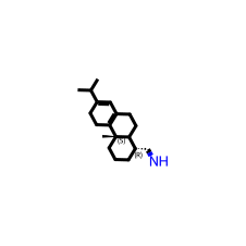 CC(C)C1=CC2=C(CC1)[C@@]1(C)CCC[C@@H](C=N)C1CC2